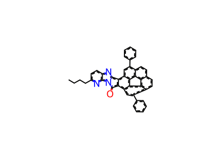 CCCCc1ccc2nc3c4c5cc(-c6ccccc6)c6ccc7ccc8c(-c9ccccc9)cc(c4c(=O)n3c2n1)c1c8c7c6c51